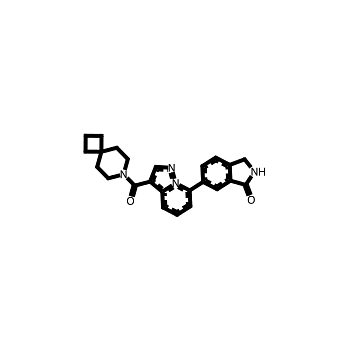 O=C1NCc2ccc(-c3cccc4c(C(=O)N5CCC6(CCC6)CC5)cnn34)cc21